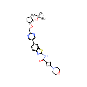 CC(C)(C)[Si](C)(C)O[C@H]1CCC[C@@H]1OCc1ncc(-c2ccc3nc(NC(=O)C4CC(N5CCOCC5)C4)sc3c2)cn1